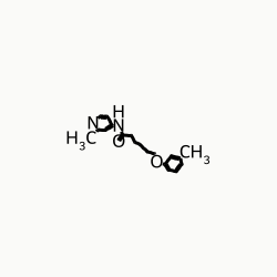 Cc1cccc(OCCCCCC(=O)Nc2ccnc(C)c2)c1